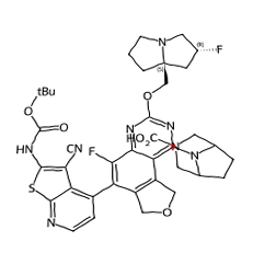 CC(C)(C)OC(=O)Nc1sc2nccc(-c3c4c(c5c(N6C7CCC6CN(C(=O)O)C7)nc(OC[C@@]67CCCN6C[C@H](F)C7)nc5c3F)COC4)c2c1C#N